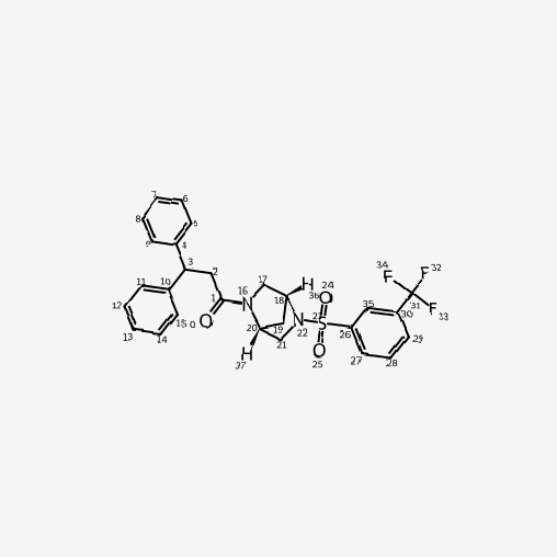 O=C(CC(c1ccccc1)c1ccccc1)N1C[C@H]2C[C@@H]1CN2S(=O)(=O)c1cccc(C(F)(F)F)c1